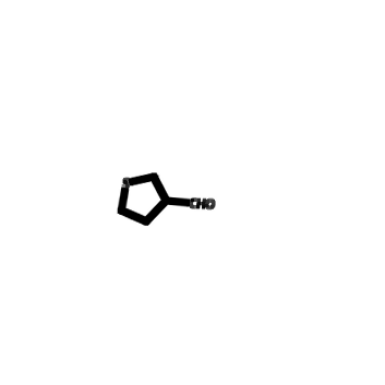 O=CC1[CH]SCC1